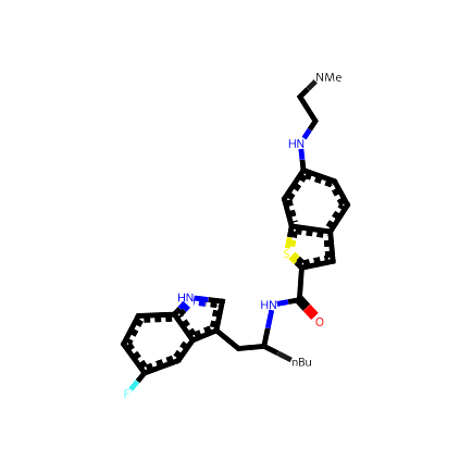 CCCCC(Cc1c[nH]c2ccc(F)cc12)NC(=O)c1cc2ccc(NCCNC)cc2s1